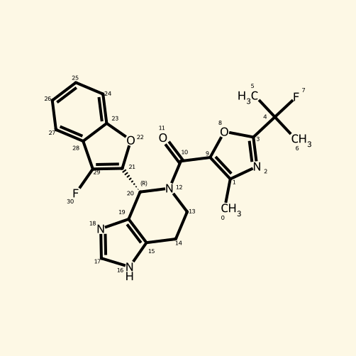 Cc1nc(C(C)(C)F)oc1C(=O)N1CCc2[nH]cnc2[C@@H]1c1oc2ccccc2c1F